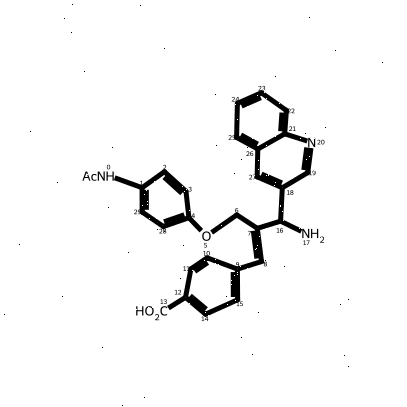 CC(=O)Nc1ccc(OC/C(=C\c2ccc(C(=O)O)cc2)C(N)c2cnc3ccccc3c2)cc1